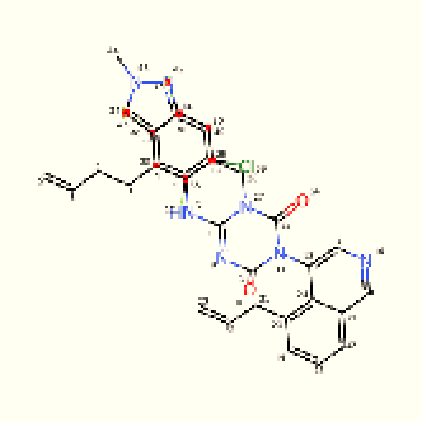 C=CCCc1c(Nc2nc(=O)n(-c3cncc4cccc(CC=C)c34)c(=O)n2Cc2cc(F)c(F)cc2F)c(Cl)cc2nn(C)cc12